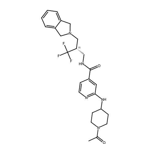 CC(=O)N1CCC(Nc2cc(C(=O)NC[C@@H](CN3Cc4ccccc4C3)C(F)(F)F)ccn2)CC1